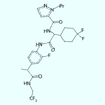 CC(C(=O)NCC(F)(F)F)c1ccc(NC(=O)C(NC(=O)c2ccnn2C(C)C)C2CCC(F)(F)CC2)c(F)c1